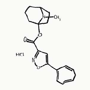 CN1C2CCCC1(OC(=O)c1cc(-c3ccccc3)on1)CC2.Cl